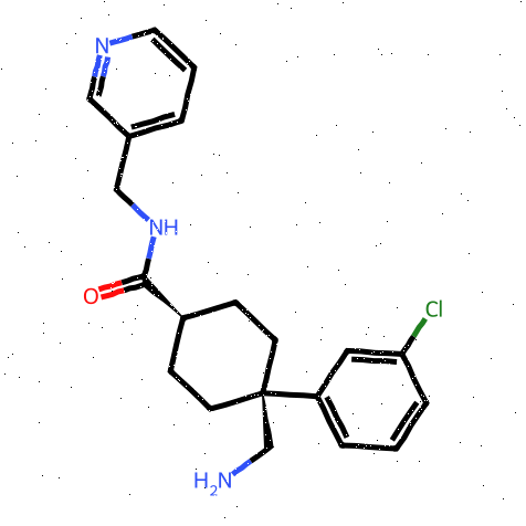 NC[C@]1(c2cccc(Cl)c2)CC[C@H](C(=O)NCc2cccnc2)CC1